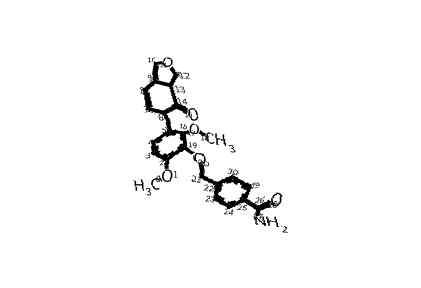 COc1ccc(C2C=CC3=COCC3C2=O)c(OC)c1OCc1ccc(C(N)=O)cc1